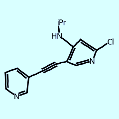 CC(C)Nc1cc(Cl)ncc1C#Cc1cccnc1